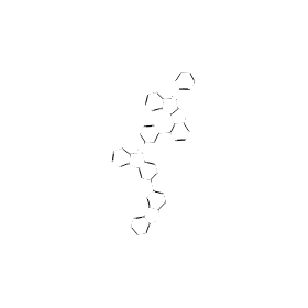 c1ccc(-n2c3ccccc3c3c4c(-c5cccc(-n6c7ccccc7c7cc(-c8ccc9oc%10ccccc%10c9c8)ccc76)c5)cccc4oc32)cc1